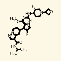 COc1nc(N[C@@H]2CCN(C3COC3)C[C@H]2F)nn2cc(F)c(-c3ccn4ncc(C(=O)NC(C)C)c4c3)c12